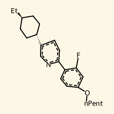 CCCCCOc1ccc(-c2ccc([C@H]3CC[C@H](CC)CC3)cn2)c(F)c1